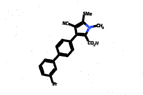 CSc1c(C#N)c(-c2ccc(-c3cccc(C(C)C)c3)cc2)c(C(=O)O)n1C